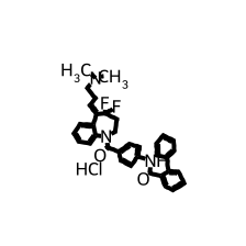 CN(C)CCC=C1c2ccccc2N(C(=O)c2ccc(NC(=O)c3ccccc3-c3ccccc3)cc2)CCC1(F)F.Cl